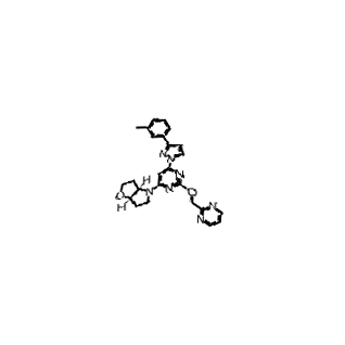 Cc1cccc(-c2ccn(-c3cc(N4CC[C@H]5OCC[C@H]54)nc(OCc4ncccn4)n3)n2)c1